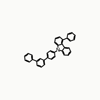 c1ccc(-c2cccc(-c3ccc(-n4c5ccccc5c5c(-c6ccccc6)cccc54)cc3)c2)cc1